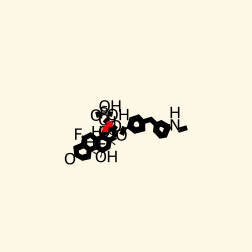 CCNc1cccc(Cc2ccc([C@@H]3O[C@@H]4C[C@H]5[C@@H]6C[C@H](F)C7=CC(=O)C=C[C@]7(C)[C@@]6(F)[C@@H](O)C[C@]5(C)[C@]4(C(=O)COP(=O)(O)O)O3)cc2)c1